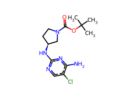 CC(C)(C)OC(=O)N1CC[C@H](Nc2ncc(Cl)c(N)n2)C1